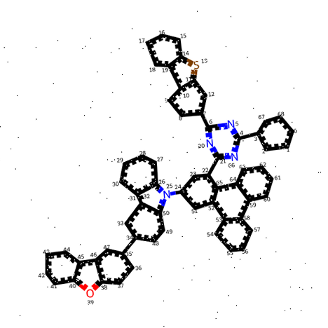 c1ccc(-c2nc(-c3ccc4c(c3)sc3ccccc34)nc(-c3cc(-n4c5ccccc5c5cc(-c6ccc7oc8ccccc8c7c6)ccc54)cc4c5ccccc5c5ccccc5c34)n2)cc1